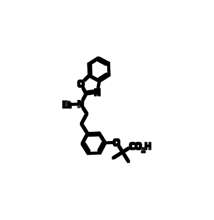 CCN(CCc1cccc(OC(C)(C)C(=O)O)c1)c1nc2ccccc2o1